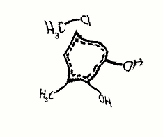 CCl.Cc1cccc(O)c1O